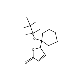 CC(C)(C)[Si](C)(C)OC1(C2C=CC(=O)O2)CCCCC1